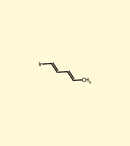 C/C=C/C=[CH]/[Ir]